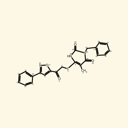 Cc1c(SCC(=O)c2cc(-c3ccccc3)no2)[nH]c(=O)n(Cc2ccccc2)c1=O